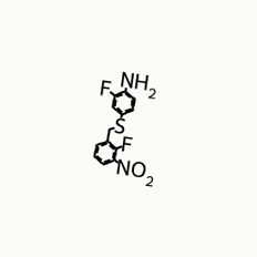 Nc1ccc(SCc2cccc([N+](=O)[O-])c2F)cc1F